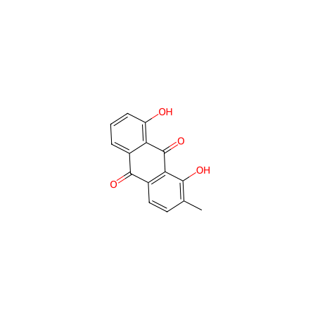 Cc1ccc2c(c1O)C(=O)c1c(O)cccc1C2=O